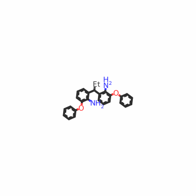 CCC(c1cccc(Oc2ccccc2)c1N)c1cccc(Oc2ccccc2)c1N